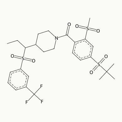 CCC(C1CCN(C(=O)c2ccc(S(=O)(=O)C(C)(C)C)cc2S(C)(=O)=O)CC1)S(=O)(=O)c1cccc(C(F)(F)F)c1